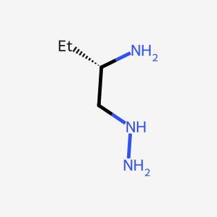 CC[C@H](N)CNN